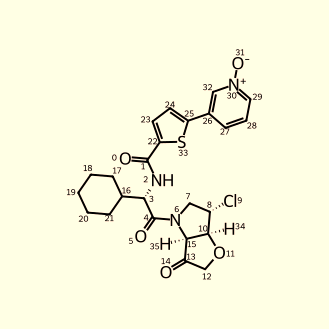 O=C(N[C@H](C(=O)N1C[C@H](Cl)[C@H]2OCC(=O)[C@H]21)C1CCCCC1)c1ccc(-c2ccc[n+]([O-])c2)s1